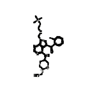 Cc1ccccc1C(=O)c1cn(COCC[Si](C)(C)C)c2ncnc(NC3CC[C@@H](CO)OC3)c12